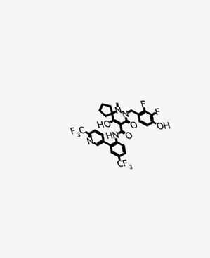 CN1N(Cc2ccc(O)c(F)c2F)C(=O)C(C(=O)Nc2ccc(C(F)(F)F)cc2-c2ccc(C(F)(F)F)nc2)=C(O)C12CCCC2